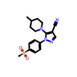 CC1CCN(c2c(C#N)cnn2-c2ccc(S(C)(=O)=O)cc2)CC1